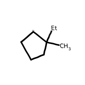 CCC1(C)[C]CCC1